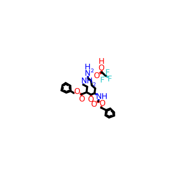 NCCCCC(NC(=O)OCc1ccccc1)C(=O)C(CCN)C(=O)OCc1ccccc1.O=C(O)C(F)(F)F